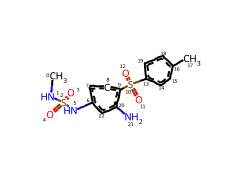 CNS(=O)(=O)Nc1ccc(S(=O)(=O)c2ccc(C)cc2)c(N)c1